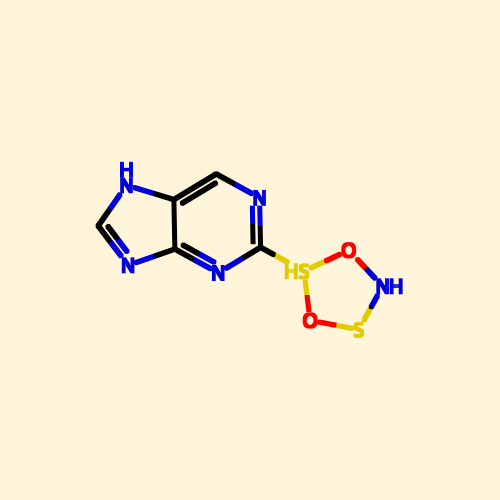 c1nc2nc([SH]3ONSO3)ncc2[nH]1